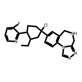 CCC1CC(Cl)(c2ccc3c(c2)CNCc2nncn2-3)CCC1c1ncccc1F